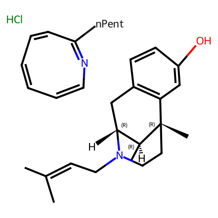 CC(C)=CCN1CC[C@@]2(C)c3cc(O)ccc3C[C@@H]1[C@@H]2C.CCCCCC1=NC=CC=CC=C1.Cl